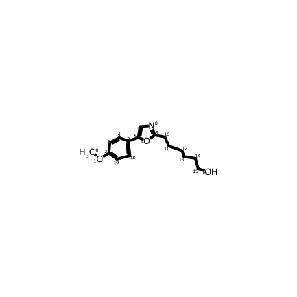 COc1ccc(-c2cnc(CCCCCCO)o2)cc1